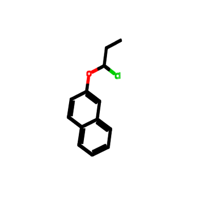 CCC(Cl)Oc1ccc2ccccc2c1